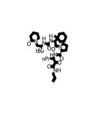 C=CCNC(=O)C(=O)C(CCC)NC(=O)[C@@H]1CCCN1C(=O)[C@@H](NC(=O)N[C@H](CN1CCCCC1=O)C(C)(C)C)C1(C)CCCCC1